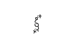 CC(CC1CCN(CC2CC(OC(C)(C)C)C2)CC1)OC(C)(C)C